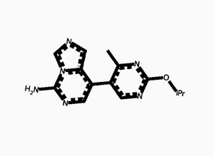 Cc1nc(OC(C)C)ncc1-c1cnc(N)n2cncc12